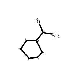 [CH2]C(O)C1CCCCC1